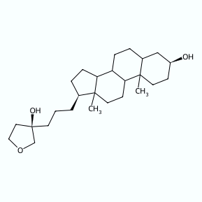 CC12CC[C@H](O)CC1CCC1C2CCC2(C)C1CC[C@@H]2CCC[C@@]1(O)CCOC1